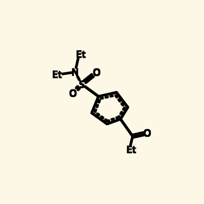 CCC(=O)c1ccc(S(=O)(=O)N(CC)CC)cc1